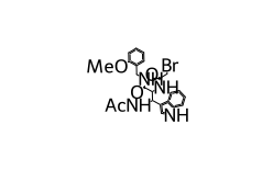 COc1ccccc1CNC(=O)C(NC(=O)CBr)C(NC(C)=O)c1c[nH]c2ccccc12